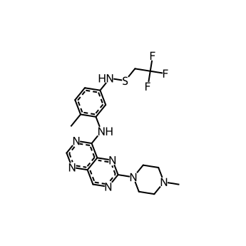 Cc1ccc(NSCC(F)(F)F)cc1Nc1ncnc2cnc(N3CCN(C)CC3)nc12